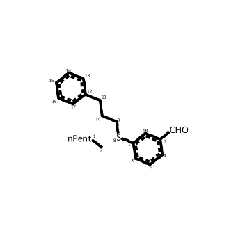 CCCCCC.O=Cc1cccc(SCCCc2ccccc2)c1